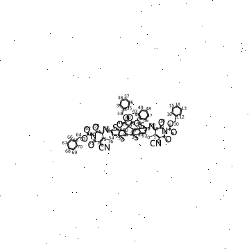 CC1=C(C#N)C(=O)N(C(=O)OCc2ccccc2)C(=O)/C1=N/c1cc2sc3c(c2s1)C(C(=O)OCc1ccccc1)(C(=O)OCc1ccccc1)c1c-3sc2cc(/N=C3/C(=O)N(C(=O)OCc4ccccc4)C(=O)C(C#N)=C3C)sc12